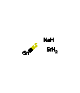 [NaH].[S]=[Sn].[SrH2]